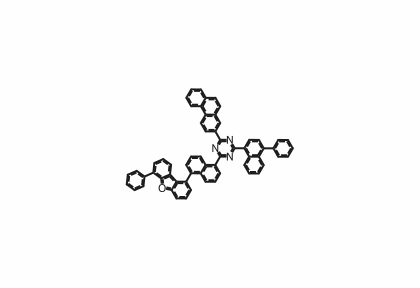 c1ccc(-c2ccc(-c3nc(-c4ccc5c(ccc6ccccc65)c4)nc(-c4cccc5c(-c6cccc7oc8c(-c9ccccc9)cccc8c67)cccc45)n3)c3ccccc23)cc1